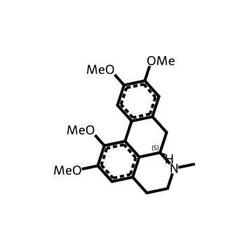 COc1cc2c(cc1OC)-c1c(OC)c(OC)cc3c1[C@H](C2)N(C)CC3